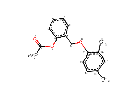 COC(=O)Oc1ccccc1COc1ccc(C)cc1C(F)(F)F